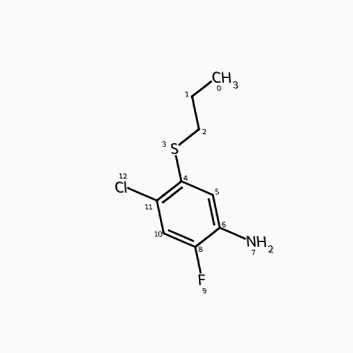 CCCSc1cc(N)c(F)cc1Cl